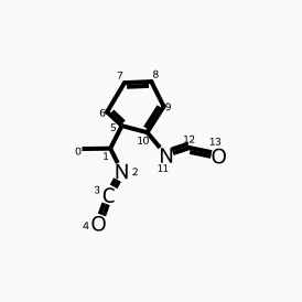 CC(N=C=O)c1ccccc1N=C=O